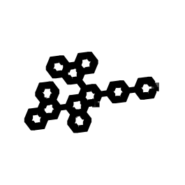 c1ccc2c(c1)cc(-c1cc3c(-c4cc5ccccc5c5ccccc45)cc(-c4ccc(-c5ccncc5)cc4)nc3c3ccccc13)c1ccccc12